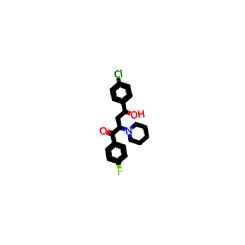 O=C(c1ccc(F)cc1)C(CC(O)c1ccc(Cl)cc1)N1CCCCC1